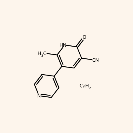 Cc1[nH]c(=O)c(C#N)cc1-c1ccncc1.[CaH2]